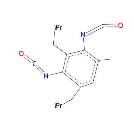 Cc1cc(CC(C)C)c(N=C=O)c(CC(C)C)c1N=C=O